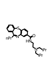 CCCC1=Nc2cc(C(=O)NCCN(CC(C)C)CC(C)C)ccc2Sc2ccccc21